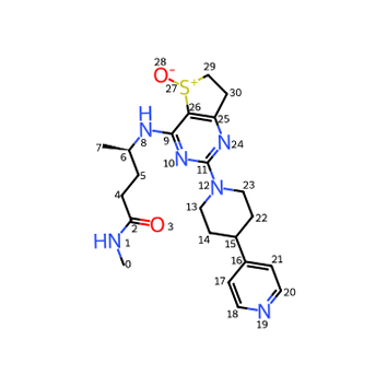 CNC(=O)CC[C@@H](C)Nc1nc(N2CCC(c3ccncc3)CC2)nc2c1[S+]([O-])CC2